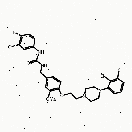 COc1cc(CNC(=O)Nc2ccc(F)c(Cl)c2)ccc1OCCN1CCN(c2cccc(Cl)c2Cl)CC1